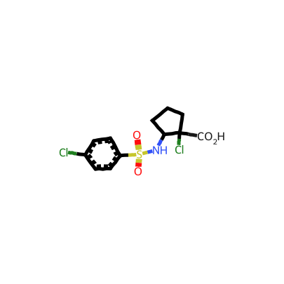 O=C(O)C1(Cl)CCCC1NS(=O)(=O)c1ccc(Cl)cc1